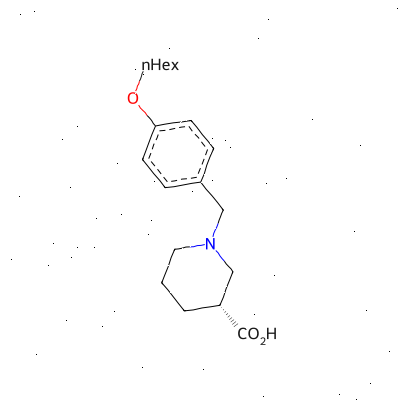 CCCCCCOc1ccc(CN2CCC[C@@H](C(=O)O)C2)cc1